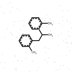 Cc1ccccc1CC(C)c1ccccc1C